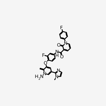 C=C1C(Oc2ccc(NC(=O)c3cccn(-c4ccc(F)cc4)c3=O)cc2F)=CC(c2nccn2C)=CN1N